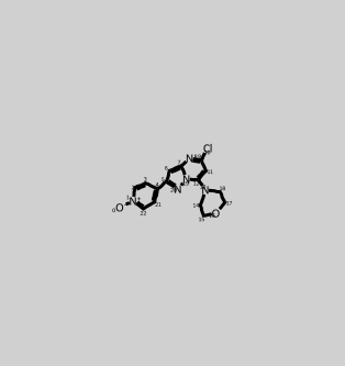 [O-][n+]1ccc(-c2cc3nc(Cl)cc(N4CCOCC4)n3n2)cc1